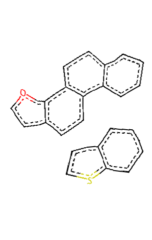 c1ccc2c(c1)ccc1c2ccc2ccoc21.c1ccc2sccc2c1